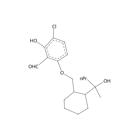 CCCC(C)(O)C1CCCCC1COc1ccc(Cl)c(O)c1C=O